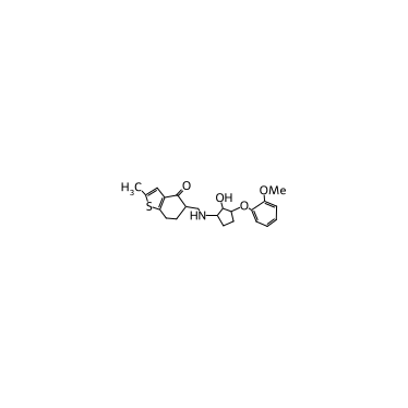 COc1ccccc1OC1CCC(NCC2CCc3sc(C)cc3C2=O)C1O